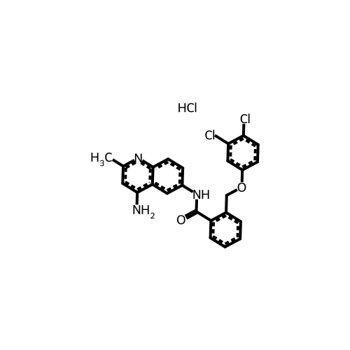 Cc1cc(N)c2cc(NC(=O)c3ccccc3COc3ccc(Cl)c(Cl)c3)ccc2n1.Cl